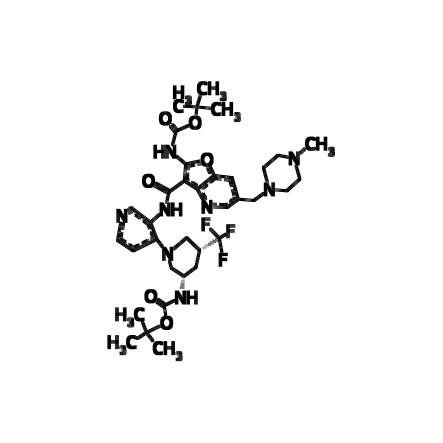 CN1CCN(Cc2cnc3c(C(=O)Nc4cnccc4N4C[C@@H](NC(=O)OC(C)(C)C)C[C@@H](C(F)(F)F)C4)c(NC(=O)OC(C)(C)C)oc3c2)CC1